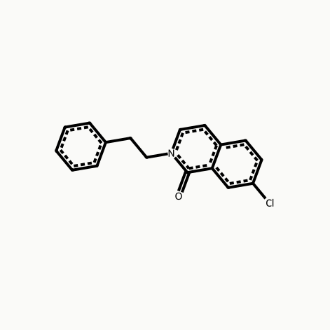 O=c1c2cc(Cl)ccc2ccn1CCc1ccccc1